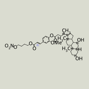 COc1cc(/C=C/C(=O)OCCCCO[N+](=O)[O-])ccc1OC(=O)CC[C@@H](C)[C@H]1CCC2C3C(CC[C@@]21C)[C@@]1(C)CC[C@@H](O)C[C@H]1C[C@H]3O